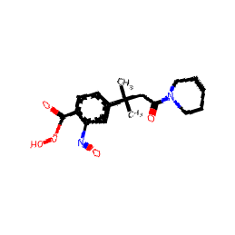 CC(C)(CC(=O)N1CCCCC1)c1ccc(C(=O)OO)c(N=O)c1